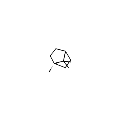 CC1(C)C2C[CH][C@@]1(C)CC2